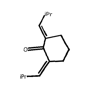 CC(C)C=C1CCCC(=CC(C)C)C1=O